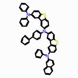 c1ccc(-c2ccc(N(c3ccc4sc5ccc(N(c6ccccc6)c6ccccc6)cc5c4c3)c3ccc4sc5ccc(N(c6ccccc6)c6ccc7ccccc7c6)cc5c4c3)cc2)cc1